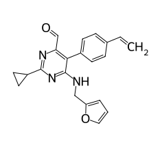 C=Cc1ccc(-c2c(C=O)nc(C3CC3)nc2NCc2ccco2)cc1